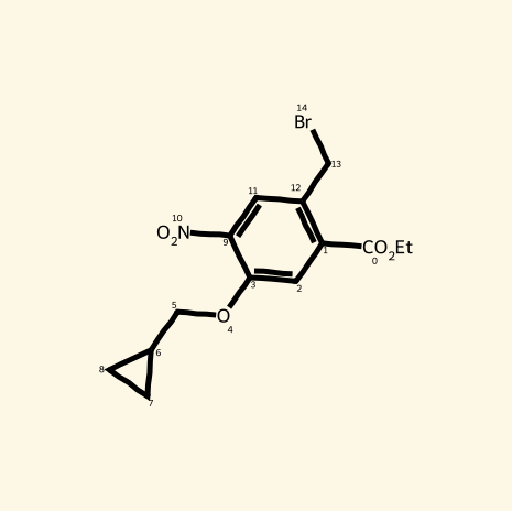 CCOC(=O)c1cc(OCC2CC2)c([N+](=O)[O-])cc1CBr